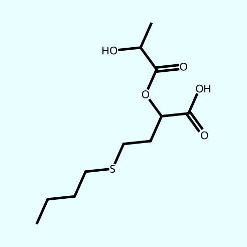 CCCCSCCC(OC(=O)C(C)O)C(=O)O